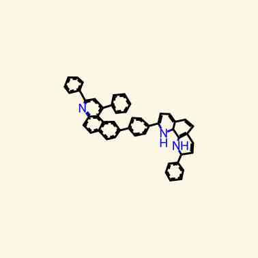 C1=CC2=C(NC(c3ccccc3)C=C2)C2NC(c3ccc(-c4ccc5ccc6nc(-c7ccccc7)cc(-c7ccccc7)c6c5c4)cc3)=CC=C12